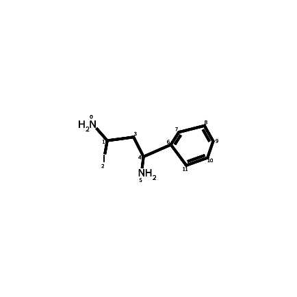 NC(I)CC(N)c1ccccc1